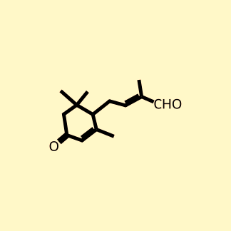 CC(C=O)=CCC1C(C)=CC(=O)CC1(C)C